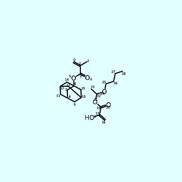 C=C(C)C(=O)OC12CC3CC(CC(C3)C1)C2.C=C(O)C(=O)OC(C)OCCCC